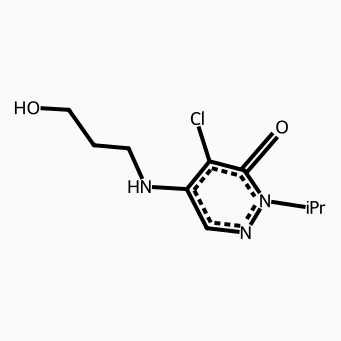 CC(C)n1ncc(NCCCO)c(Cl)c1=O